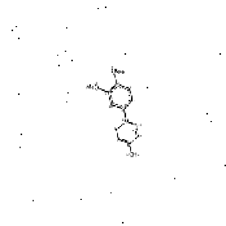 COc1ccc(N2CC=C(C)C=N2)cc1OC